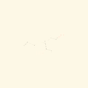 C=CCSC(CC=O)C(C)O